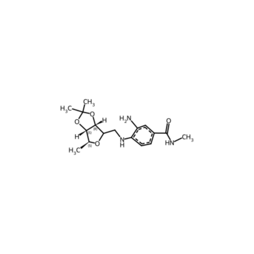 CNC(=O)c1ccc(NCC2O[C@@H](C)[C@@H]3OC(C)(C)O[C@H]23)c(N)c1